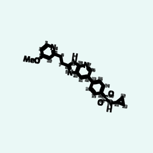 COc1ccnc(CCc2nc3cc(-c4ccc(S(=O)(=O)NC5CC5)cc4)cnc3[nH]2)c1